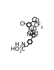 Cl.N[C@@H](Cc1ccc(-c2csc3c(O[C@H](c4ccc(Cl)cc4C4=COCCC4)C(F)(F)F)ncnc23)cc1)C(=O)O